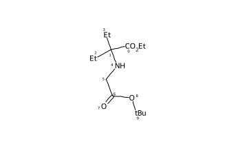 CCOC(=O)C(CC)(CC)NCC(=O)OC(C)(C)C